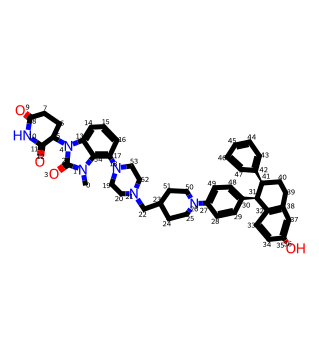 Cn1c(=O)n(C2CCC(=O)NC2=O)c2cccc(N3CCN(CC4CCN(c5ccc([C@@H]6c7ccc(O)cc7CC[C@@H]6c6ccccc6)cc5)CC4)CC3)c21